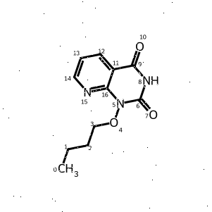 CCCCOn1c(=O)[nH]c(=O)c2cccnc21